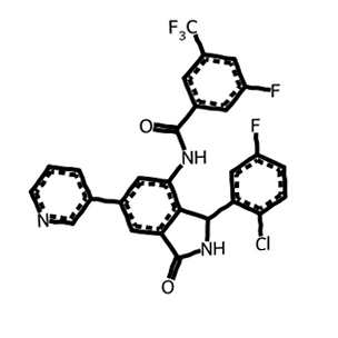 O=C(Nc1cc(-c2cccnc2)cc2c1C(c1cc(F)ccc1Cl)NC2=O)c1cc(F)cc(C(F)(F)F)c1